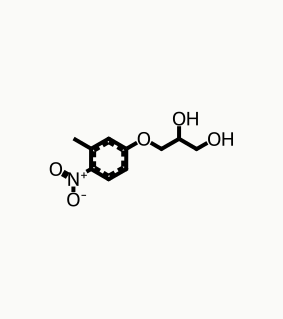 Cc1cc(OCC(O)CO)ccc1[N+](=O)[O-]